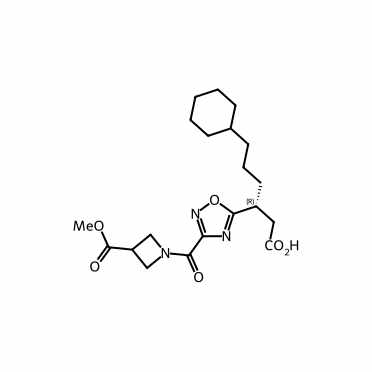 COC(=O)C1CN(C(=O)c2noc([C@H](CCCC3CCCCC3)CC(=O)O)n2)C1